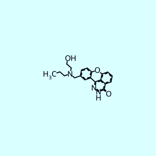 CCCN(CCO)Cc1ccc2c(c1)-c1n[nH]c(=O)c3cccc(c13)O2